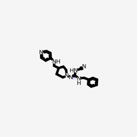 N#CN/C(=N\N1CCC(CNc2ccncc2)CC1)NCc1ccccc1